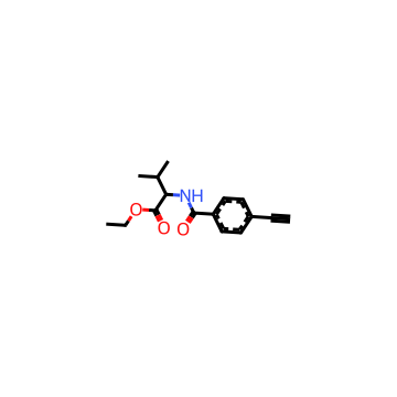 C#Cc1ccc(C(=O)NC(C(=O)OCC)C(C)C)cc1